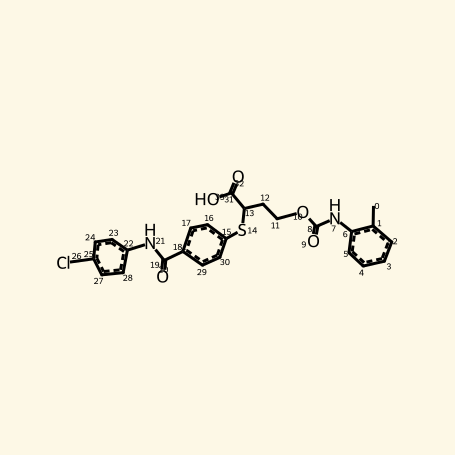 Cc1ccccc1NC(=O)OCCC(Sc1ccc(C(=O)Nc2ccc(Cl)cc2)cc1)C(=O)O